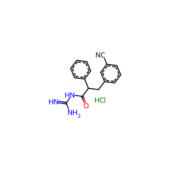 Cl.N#Cc1cccc(CC(C(=O)NC(=N)N)c2ccccc2)c1